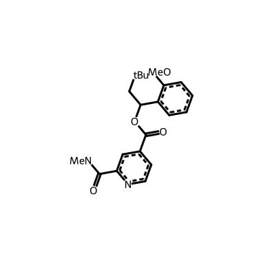 CNC(=O)c1cc(C(=O)OC(CC(C)(C)C)c2ccccc2OC)ccn1